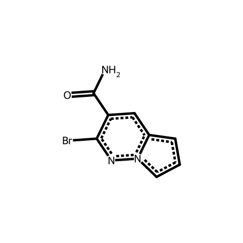 NC(=O)c1cc2cccn2nc1Br